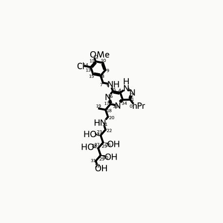 CCCc1n[nH]c2c(NCc3ccc(OC)c(Cl)c3)nc(C(C)CNC[C@@H](O)[C@H](O)[C@@H](O)[C@@H](O)CO)nc12